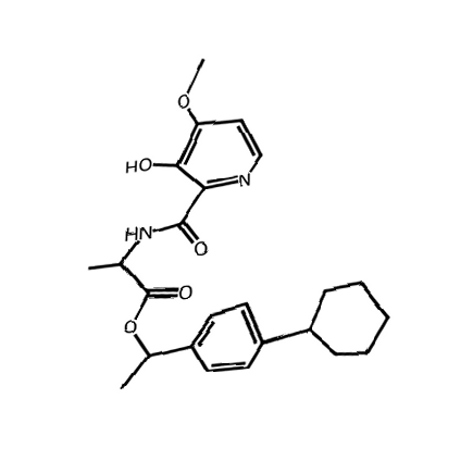 COc1ccnc(C(=O)NC(C)C(=O)OC(C)c2ccc(C3CCCCC3)cc2)c1O